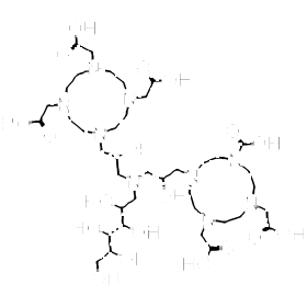 O=C(O)CN1CCN(CC(=O)O)CCN(CC(O)CN(CC(O)CN2CCN(CC(=O)O)CCN(CC(=O)O)CCN(C(=O)O)CC2)CC(O)C(O)C(O)C(O)CO)CCN(CC(=O)O)CC1